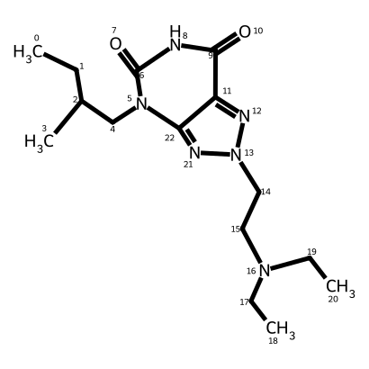 CCC(C)Cn1c(=O)[nH]c(=O)c2nn(CCN(CC)CC)nc21